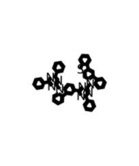 c1ccc(-c2nc(-c3ccccc3)nc(-n3c4ccccc4c4cc(-c5nc(-c6ccccc6)nc(-n6c7ccccc7c7cc8c(cc76)sc6ccccc68)n5)ccc43)n2)cc1